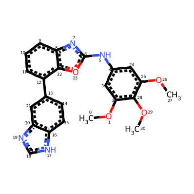 COc1cc(Nc2nc3cccc(-c4ccc5[nH]cnc5c4)c3o2)cc(OC)c1OC